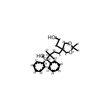 CC1(C)OCC(CCO)(CCC(C)(C)[Si](O)(c2ccccc2)c2ccccc2)CO1